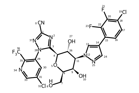 N#Cc1nc([C@@H]2O[C@H](CO)[C@H](O)[C@H](n3cc(-c4ccc(Cl)c(F)c4F)cn3)[C@H]2O)n(-c2cc(Cl)cnc2C(F)(F)F)n1